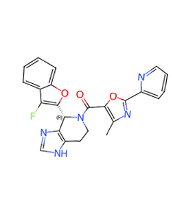 Cc1nc(-c2ccccn2)oc1C(=O)N1CCc2[nH]cnc2[C@@H]1c1oc2ccccc2c1F